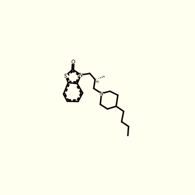 CCCCC1CCN(C[C@@H](C)Cn2c(=O)sc3ccccc32)CC1